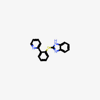 c1ccc(-c2ccccc2Sc2nc3ccccc3[nH]2)nc1